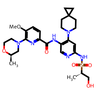 COc1ccc(C(=O)Nc2cnc(NS(=O)(=O)[C@@H](C)CO)cc2N2CCC3(CC2)CC3)nc1N1CCO[C@H](C)C1